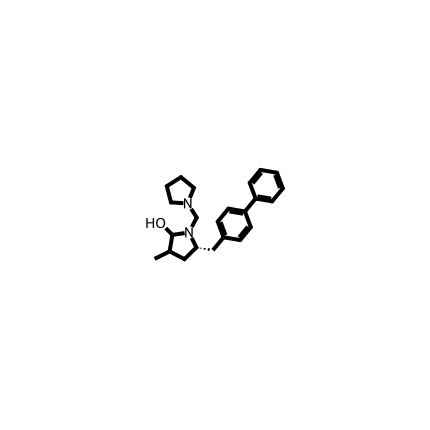 CC1C[C@@H](Cc2ccc(-c3ccccc3)cc2)N(CN2CCCC2)C1O